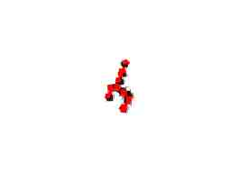 c1ccc(-c2ccc(-c3ccc(N(c4cccc(-c5ccccc5)c4)c4ccc5c(c4)oc4ccc6nc(-c7ccccc7)oc6c45)cc3)cc2)cc1